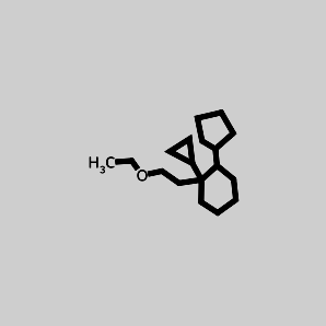 CCOCCC1(C2CC2)CCCC[C]1C1CCCC1